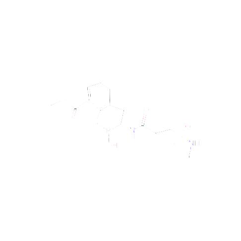 CCOC(=O)c1cccc2c1OB(O)[C@@H](NC(=O)CCS(=O)(=O)NC)C2